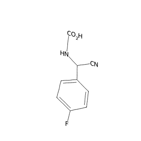 N#CC(NC(=O)O)c1ccc(F)cc1